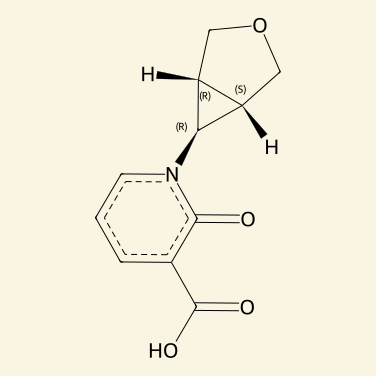 O=C(O)c1cccn([C@H]2[C@@H]3COC[C@@H]32)c1=O